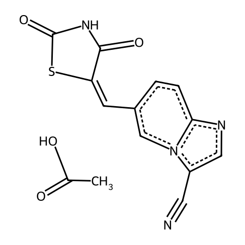 CC(=O)O.N#Cc1cnc2ccc(C=C3SC(=O)NC3=O)cn12